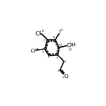 O=CCc1cc(Cl)c(Cl)c(I)c1O